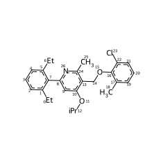 CCc1cccc(CC)c1-c1cc(OC(C)C)c(COc2c(C)cccc2Cl)c(C)n1